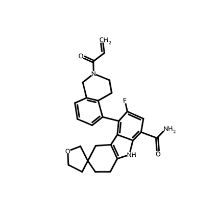 C=CC(=O)N1CCc2c(cccc2-c2c(F)cc(C(N)=O)c3[nH]c4c(c23)CC2(CCOC2)CC4)C1